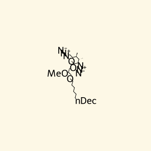 CCCCCCCCCCCCCCCCOC[C@H](CO[C@H]1OC(CN=[N+]=[N-])[C@@H](C)[C@H](C)C1N=[N+]=[N-])OC